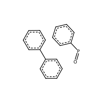 O=Pc1ccccc1.c1ccc(-c2ccccc2)cc1